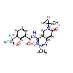 Cc1nc(NC(O)c2cccc3c2OCC3(F)F)c2cn(C3(C)CC3)c(=O)cc2n1